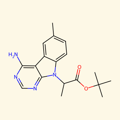 Cc1ccc2c(c1)c1c(N)ncnc1n2C(C)C(=O)OC(C)(C)C